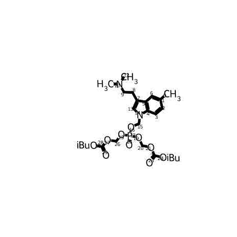 Cc1ccc2c(c1)c(CCN(C)C)cn2COP(=O)(OCOC(=O)OCC(C)C)OCOC(=O)OCC(C)C